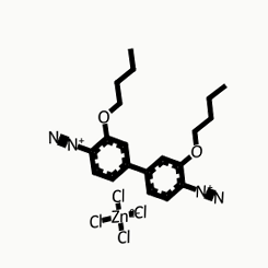 CCCCOc1cc(-c2ccc([N+]#N)c(OCCCC)c2)ccc1[N+]#N.[Cl][Zn-2]([Cl])([Cl])[Cl]